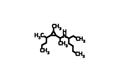 CCCCC(CC)NC(C)C1C(C)C1C(C)CCC